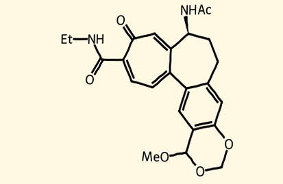 CCNC(=O)c1ccc2c(cc1=O)[C@@H](NC(C)=O)CCc1cc3c(cc1-2)C(OC)OCO3